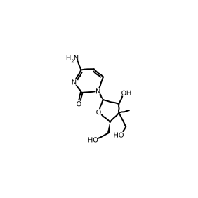 CC1(CO)C(O)[C@H](n2ccc(N)nc2=O)O[C@@H]1CO